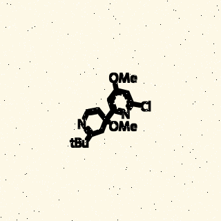 COc1cc(Cl)nc(C2(OC)C=CN=C(C(C)(C)C)C2)c1